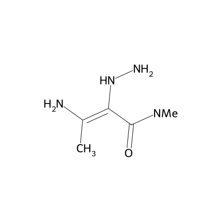 CNC(=O)/C(NN)=C(\C)N